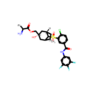 CC(C)C(N)C(=O)OC[C@]1(O)CC2C(S(=O)(=O)c3cc(C(=O)Nc4cc(F)c(F)c(F)c4)ccc3Cl)[C@@H](C[C@@H]2C)C1